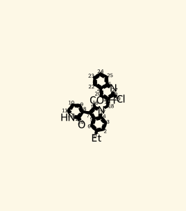 CCc1ccc2c(c1)c(-c1ccc[nH]c1=O)c(C(=O)O)n2Cc1cc2ccccc2nc1Cl